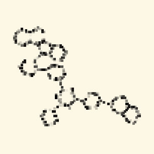 c1ccc(-c2nc(-c3ccc(-c4ccc5ccccc5c4)cc3)nc(-c3cccc(-c4ccccc4-n4c5ccccc5c5ccc6ccccc6c54)c3)n2)cc1